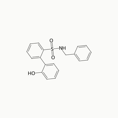 O=S(=O)(NCc1ccccc1)c1ccccc1-c1ccccc1O